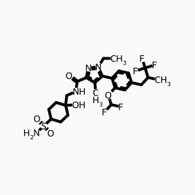 CCn1nc(C(=O)NCC2(O)CCC(S(N)(=O)=O)CC2)c(C)c1-c1ccc(CC(C)C(F)(F)F)cc1OC(F)F